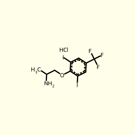 CC(N)COc1c(I)cc(C(F)(F)F)cc1I.Cl